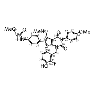 CNCc1c(-c2ccc(NC(=O)NOC)cc2)sc2c1c(=O)n(-c1ccc(OC)cc1)c(=O)n2Cc1c(F)cccc1F.Cl